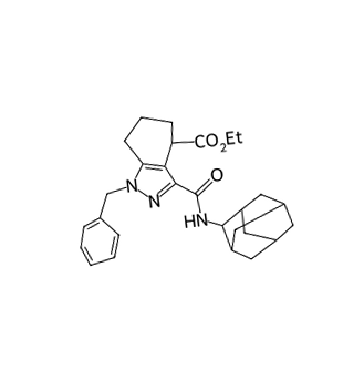 CCOC(=O)C1CCCc2c1c(C(=O)NC1C3CC4CC(C3)CC1C4)nn2Cc1ccccc1